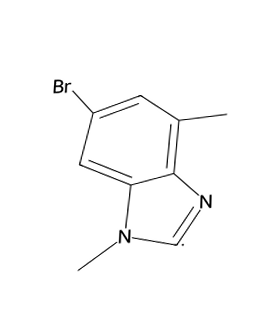 Cc1cc(Br)cc2c1n[c]n2C